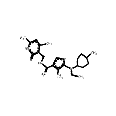 C=C(NCc1c(C)cc(C)[nH]c1=O)c1csc(N(CC)C2CCC(C)CC2)c1C